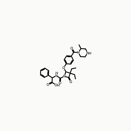 CCC1(CC)C(=O)N(C(=O)NC(C(=O)O)c2ccccc2)C1Oc1ccc(C(=O)N2CCNCC2C)cc1